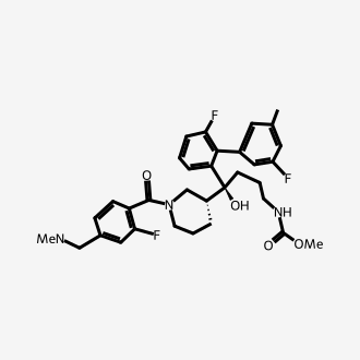 CNCc1ccc(C(=O)N2CCC[C@@H]([C@@](O)(CCCNC(=O)OC)c3cccc(F)c3-c3cc(C)cc(F)c3)C2)c(F)c1